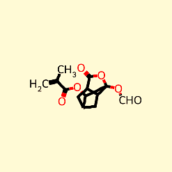 C=C(C)C(=O)OC1C2CC3C(=O)OC1(OC=O)C3C2